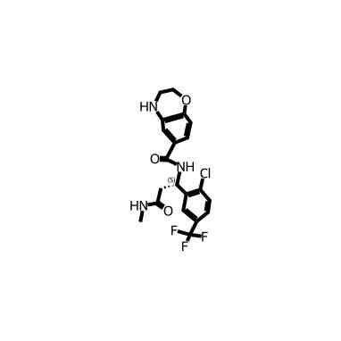 CNC(=O)C[C@H](NC(=O)c1ccc2c(c1)NCCO2)c1cc(C(F)(F)F)ccc1Cl